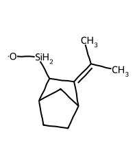 CC(C)=C1C2CCC(C2)C1[SiH2][O]